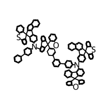 C1=C(c2cccc(-c3ccc(N(c4ccc5c(c4)-c4c(ccc6ccccc46)C54c5ccccc5Sc5ccccc54)c4cccc5c4-c4ccccc4C54c5ccccc5Oc5ccccc54)cc3)c2)CCC2=C1Oc1ccccc1C21c2ccccc2-c2c(N(c3ccc(-c4ccccc4)cc3)c3ccc4c(c3)C3(c5ccccc5Sc5ccccc53)c3ccc5ccccc5c3-4)cccc21